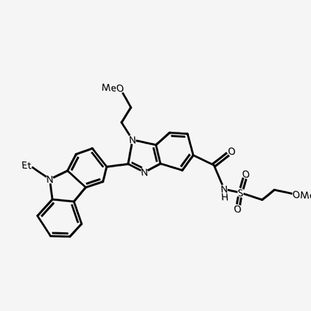 CCn1c2ccccc2c2cc(-c3nc4cc(C(=O)NS(=O)(=O)CCOC)ccc4n3CCOC)ccc21